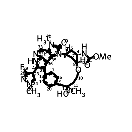 COC(=O)N[C@H]1C[C@H]2C[C@H]1OCC[C@](C)(O)c1ccc(cc1)-c1c(-c3cn(C)nc3F)[nH]c3ncc4c(c13)n2c(=O)n4C